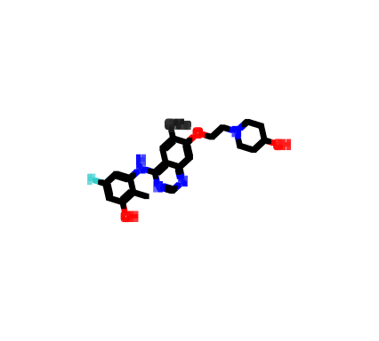 COc1cc2c(Nc3cc(F)cc(O)c3C)ncnc2cc1OCCN1CCC(O)CC1